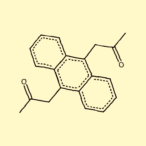 CC(=O)Cc1c2ccccc2c(CC(C)=O)c2ccccc12